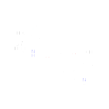 CC1Oc2cc(OCC(CC(C)(F)CC(C)(C)C)NC(=O)O)ccc2-c2cnccc21